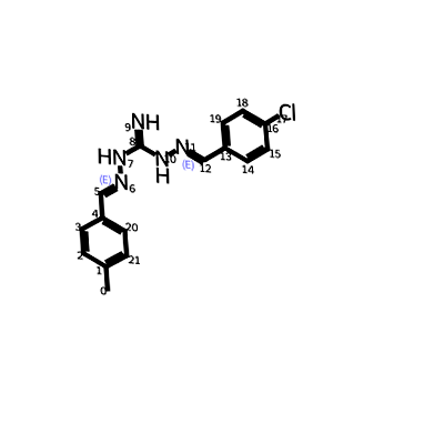 Cc1ccc(/C=N/NC(=N)N/N=C/c2ccc(Cl)cc2)cc1